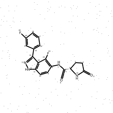 O=C1CC[C@@H](C(=O)Nc2ccc3[nH]nc(-c4cccc(F)c4)c3c2F)N1